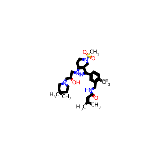 CC(C)=CC(=O)NCc1cc(-c2nn(CC(O)CN3CCC(C)(C)CC3)c3c2CN(S(C)(=O)=O)CC3)ccc1C(F)(F)F